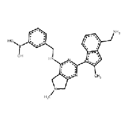 Cc1cc2c(CN)cccc2n1-c1nc2c(c(NCc3cccc(B(O)O)c3)n1)CN(C)C2